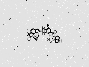 Cn1c(-c2cc3ccc4c(c3n2CC2CC2)NC(=O)C4(C)C)nc2cc(C(=O)N[C@@H]3CC[C@@H]4CC[C@]43N)cc(F)c21